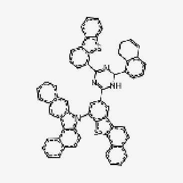 C1=Cc2cccc(C3N=C(c4cccc5c4sc4ccccc45)N=C(c4cc(-n5c6cc7ccccc7cc6c6c7ccccc7ccc65)c5sc6c7ccccc7ccc6c5c4)N3)c2CC1